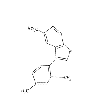 Cc1ccc(-c2csc3ccc(C(=O)O)cc23)c(C)c1